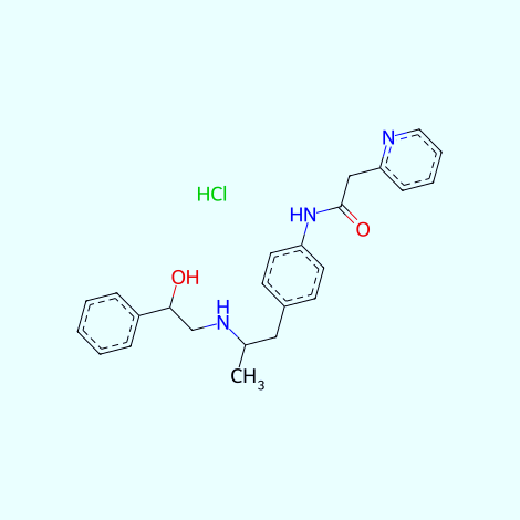 CC(Cc1ccc(NC(=O)Cc2ccccn2)cc1)NCC(O)c1ccccc1.Cl